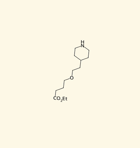 CCOC(=O)CCCOCCC1CCNCC1